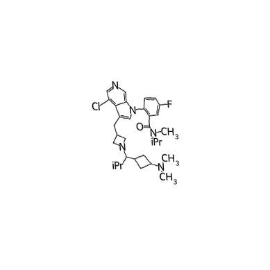 CC(C)C(C1CC(N(C)C)C1)N1CC(Cc2cn(-c3ccc(F)cc3C(=O)N(C)C(C)C)c3cncc(Cl)c23)C1